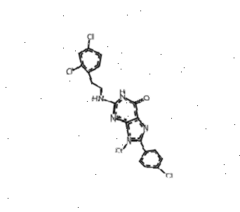 CCn1c(-c2ccc(Cl)cc2)nc2c(=O)[nH]c(NCCc3ccc(Cl)cc3Cl)nc21